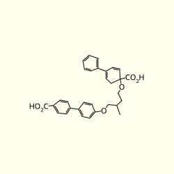 CC(CCOC1(C(=O)O)C=CC(c2ccccc2)=CC1)COc1ccc(-c2ccc(C(=O)O)cc2)cc1